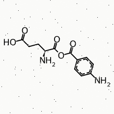 Nc1ccc(C(=O)OC(=O)[C@@H](N)CCC(=O)O)cc1